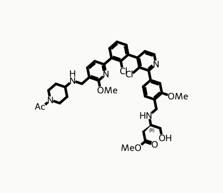 COC(=O)C[C@H](CO)NCc1ccc(-c2nccc(-c3cccc(-c4ccc(CNC5CCN(C(C)=O)CC5)c(OC)n4)c3Cl)c2Cl)cc1OC